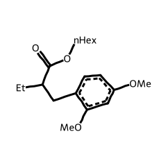 CCCCCCOC(=O)C(CC)Cc1ccc(OC)cc1OC